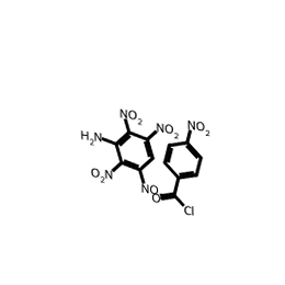 Nc1c([N+](=O)[O-])c([N+](=O)[O-])cc([N+](=O)[O-])c1[N+](=O)[O-].O=C(Cl)c1ccc([N+](=O)[O-])cc1